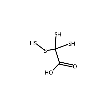 O=C(O)C(S)(S)SS